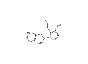 C=Cc1cccc(C(C=C)Cc2ccccc2)c1CCC